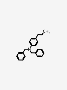 CCCc1ccc(N(Cc2ccccc2)Cc2ccccc2)cc1